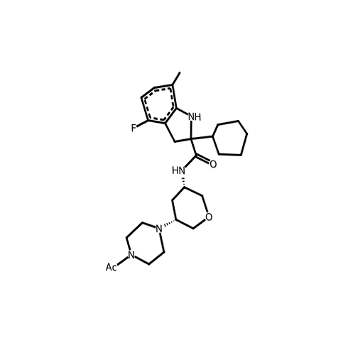 CC(=O)N1CCN([C@H]2COC[C@@H](NC(=O)C3(C4CCCCC4)Cc4c(F)ccc(C)c4N3)C2)CC1